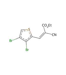 CCOC(=O)/C(C#N)=C\c1scc(Br)c1Br